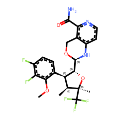 COc1c([C@H]2[C@H]([C@@H]3Nc4ccnc(C(N)=O)c4CO3)O[C@@](C)(C(F)(F)F)[C@H]2C)ccc(F)c1F